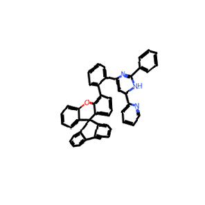 C1=C(c2ccccc2-c2cccc3c2Oc2ccccc2C32c3ccccc3-c3ccccc32)N=C(c2ccccc2)NC1c1ccccn1